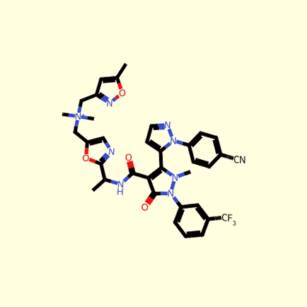 Cc1cc(C[N+](C)(C)Cc2cnc(C(C)NC(=O)c3c(-c4ccnn4-c4ccc(C#N)cc4)n(C)n(-c4cccc(C(F)(F)F)c4)c3=O)o2)no1